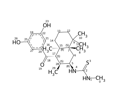 CNC(=S)N[C@@H]1C[C@@]2(C)C(C)(C)CCC[C@]2(C)[C@@H](C(=O)c2cc(O)cc(O)c2)[C@@H]1C